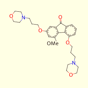 COc1cc(OCCCN2CCOCC2)cc2c1-c1c(OCCCN3CCOCC3)cccc1C2=O